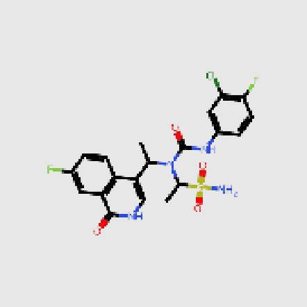 CC(c1c[nH]c(=O)c2cc(F)ccc12)N(C(=O)Nc1ccc(F)c(Cl)c1)C(C)S(N)(=O)=O